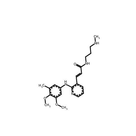 CNCCCNC(=O)/C=C/c1cccnc1Nc1cc(C)c(OC)c(OC)c1